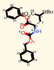 CC(C)(C)C(C[C@H](NC(=O)OCc1ccccc1)C(=O)Oc1ccccc1)C(=O)O